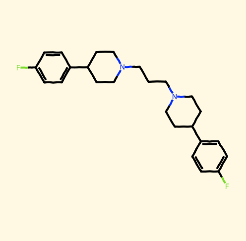 Fc1ccc(C2CCN(CCCN3CCC(c4ccc(F)cc4)CC3)CC2)cc1